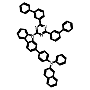 c1ccc(-c2cccc(-c3nc(-c4cccc(-c5ccccc5)c4)nc(-n4c5ccccc5c5ccc(-c6ccc(N(c7ccccc7)c7ccc8ccccc8c7)cc6)cc54)n3)c2)cc1